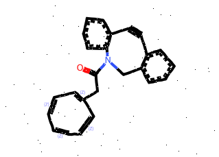 O=C(CC1=C/C=C\C=C/C=C\1)N1Cc2ccccc2C#Cc2ccccc21